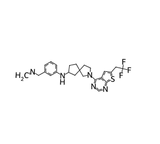 C=NCc1cccc(NC2CCC3(CCN(c4ncnc5sc(CC(F)(F)F)cc45)C3)C2)c1